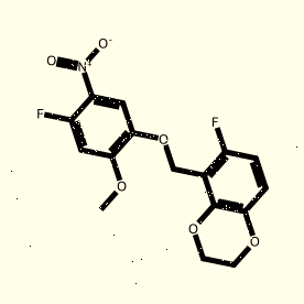 COc1cc(F)c([N+](=O)[O-])cc1OCc1c(F)ccc2c1OCCO2